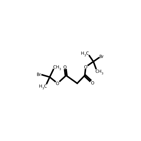 CC(C)(Br)OC(=O)CC(=O)OC(C)(C)Br